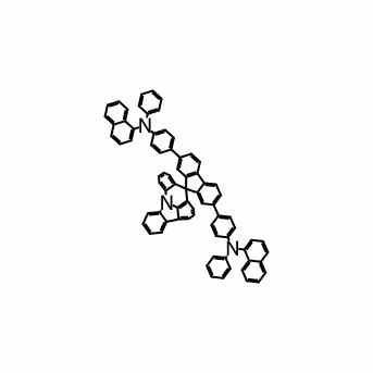 c1ccc(N(c2ccc(-c3ccc4c(c3)C3(c5cc(-c6ccc(N(c7ccccc7)c7cccc8ccccc78)cc6)ccc5-4)c4ccccc4-n4c5ccccc5c5cccc3c54)cc2)c2cccc3ccccc23)cc1